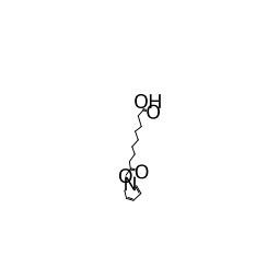 O=C(O)CCCCCCCC(=O)ON1C=CC=CC1